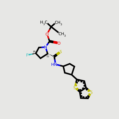 CC(C)(C)OC(=O)N1C[C@H](F)C[C@H]1C(=S)NC1CCC(c2cc3sccc3s2)C1